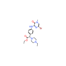 CCOC(=O)C(c1ccc(Nc2nc(Br)cn(C)c2=O)cc1)N1CCN(CC)CC1